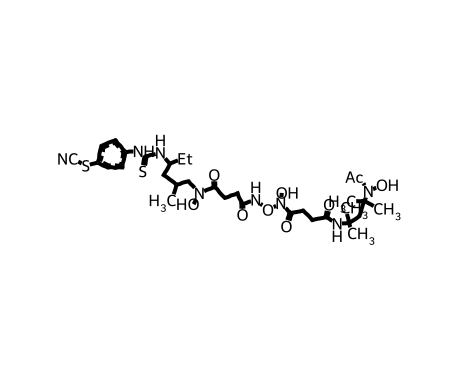 CCC(CC(C)CN(O)C(=O)CCC(=O)NON(O)C(=O)CCC(=O)NC(C)(C)CC(C)(C)N(O)C(C)=O)NC(=S)Nc1ccc(SC#N)cc1